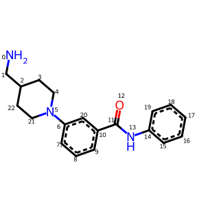 NCC1CCN(c2[c]ccc(C(=O)Nc3ccccc3)c2)CC1